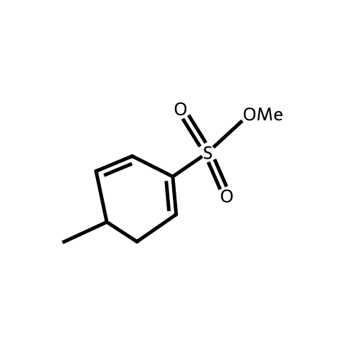 COS(=O)(=O)C1=CCC(C)C=C1